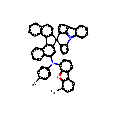 FC(F)(F)c1ccc(N(c2cc3c(c4ccccc24)-c2c(ccc4ccccc24)C32c3ccccc3-n3c4ccccc4c4cccc2c43)c2cccc3c2oc2c(C(F)(F)F)cccc23)cc1